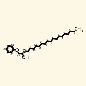 CCCCCCCCCCCCCCCCCCOC(O)COc1ccccc1